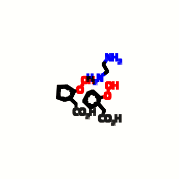 NCCN.O=C(O)Cc1ccccc1OO.O=C(O)Cc1ccccc1OO